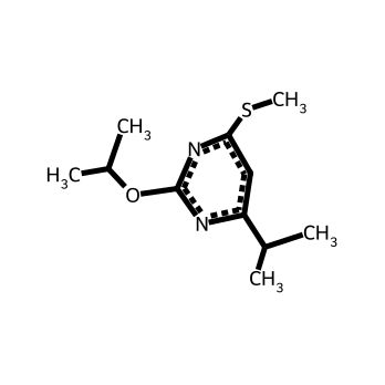 CSc1cc(C(C)C)nc(OC(C)C)n1